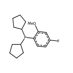 COc1cc(F)ccc1P(C1CCCC1)C1CCCC1